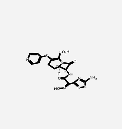 Nc1nc(/C(=N/O)C(=O)N[C@@H]2C(=O)N3C(C(=O)O)=C(Sc4ccncc4)CC[C@H]23)ns1